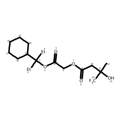 CCC(CC)(OC(=O)COC(=O)CC(C)(O)C(F)(F)F)C1CCCCC1